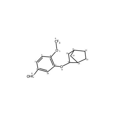 O=Cc1ccc(OC(F)(F)F)c(OC2CC3CCC2C3)c1